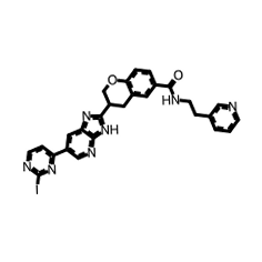 O=C(NCCc1cccnc1)c1ccc2c(c1)CC(c1nc3cc(-c4ccnc(I)n4)cnc3[nH]1)CO2